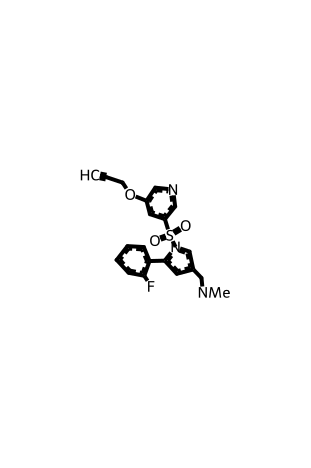 C#CCOc1cncc(S(=O)(=O)n2cc(CNC)cc2-c2ccccc2F)c1